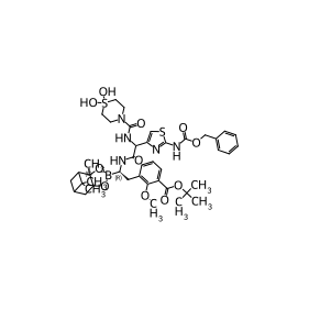 COc1c(C[C@H](NC(=O)C(NC(=O)N2CCS(O)(O)CC2)c2csc(NC(=O)OCc3ccccc3)n2)B2OC3CC4CC(C4(C)C)[C@]3(C)O2)cccc1C(=O)OC(C)(C)C